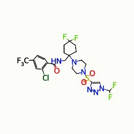 O=C(NCC1(N2CCN(S(=O)(=O)c3cn(C(F)F)nn3)CC2)CCC(F)(F)CC1)c1ccc(C(F)(F)F)cc1Cl